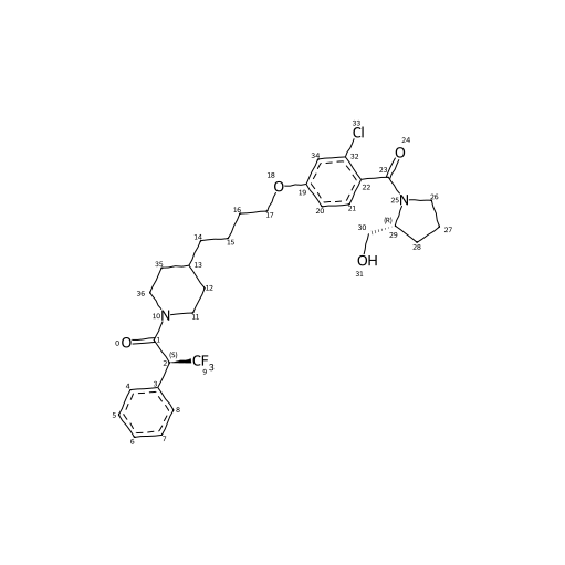 O=C([C@H](c1ccccc1)C(F)(F)F)N1CCC(CCCCOc2ccc(C(=O)N3CCC[C@@H]3CO)c(Cl)c2)CC1